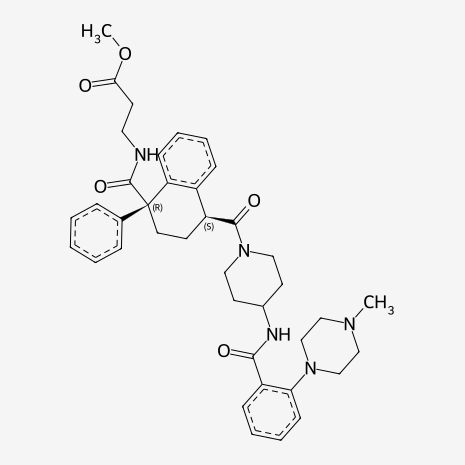 COC(=O)CCNC(=O)[C@@]1(c2ccccc2)CC[C@H](C(=O)N2CCC(NC(=O)c3ccccc3N3CCN(C)CC3)CC2)c2ccccc21